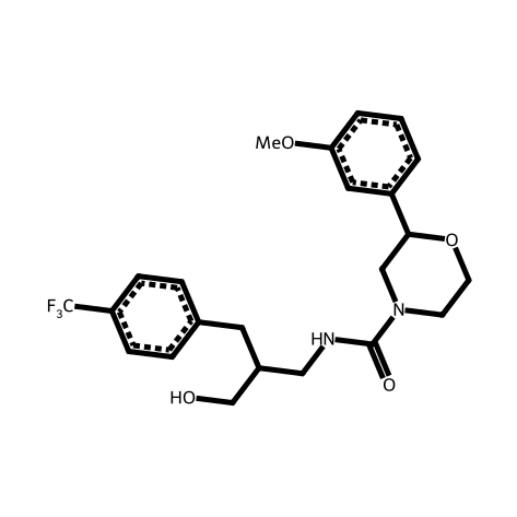 COc1cccc(C2CN(C(=O)NCC(CO)Cc3ccc(C(F)(F)F)cc3)CCO2)c1